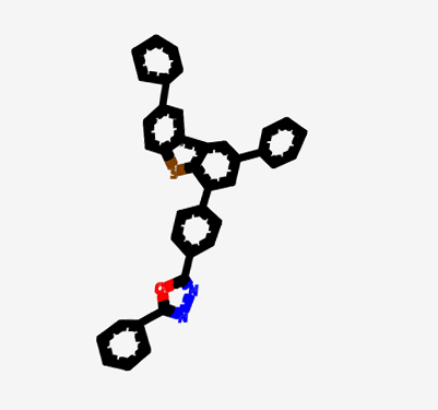 c1ccc(-c2ccc3sc4c(-c5ccc(-c6nnc(-c7ccccc7)o6)cc5)cc(-c5ccccc5)cc4c3c2)cc1